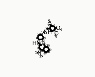 COc1cc(OC)c(OC)cc1CNC[C@H]1CC[C@@H](Nc2cc(N(C)C)c3ccccc3n2)CC1